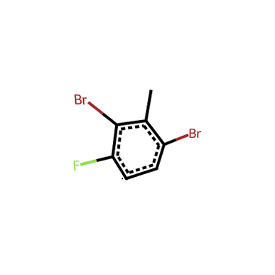 Cc1c(Br)c[c]c(F)c1Br